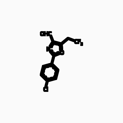 O=Cc1nc(-c2ccc(Cl)cc2)oc1CC(F)(F)F